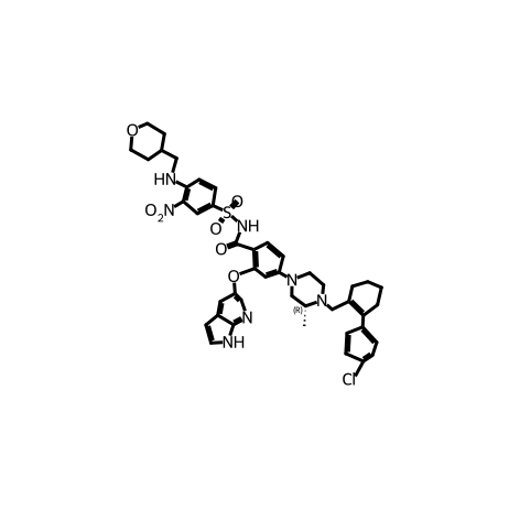 C[C@@H]1CN(c2ccc(C(=O)NS(=O)(=O)c3ccc(NCC4CCOCC4)c([N+](=O)[O-])c3)c(Oc3cnc4[nH]ccc4c3)c2)CCN1CC1=C(c2ccc(Cl)cc2)CCCC1